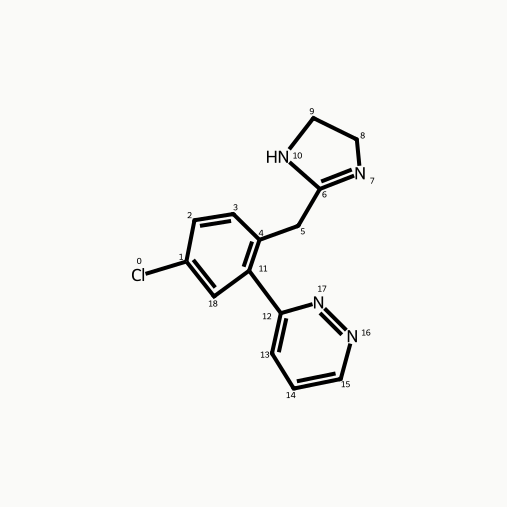 Clc1ccc(CC2=NCCN2)c(-c2cccnn2)c1